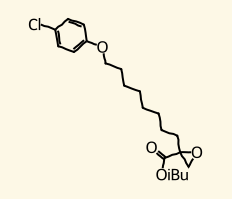 CC(C)COC(=O)C1(CCCCCCCCOc2ccc(Cl)cc2)CO1